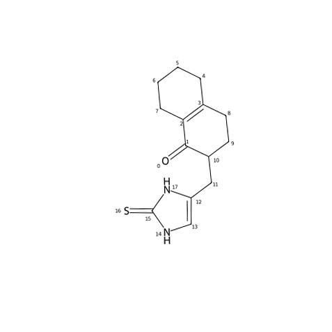 O=C1C2=C(CCCC2)CCC1Cc1c[nH]c(=S)[nH]1